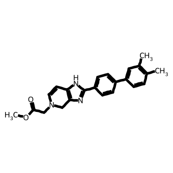 COC(=O)CN1C=Cc2[nH]c(-c3ccc(-c4ccc(C)c(C)c4)cc3)nc2C1